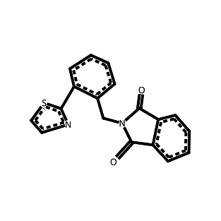 O=C1c2ccccc2C(=O)N1Cc1ccccc1-c1nccs1